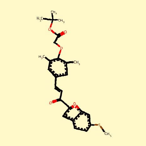 CSc1ccc2cc(C(=O)/C=C/c3cc(C)c(OCC(=O)OC(C)(C)C)c(C)c3)oc2c1